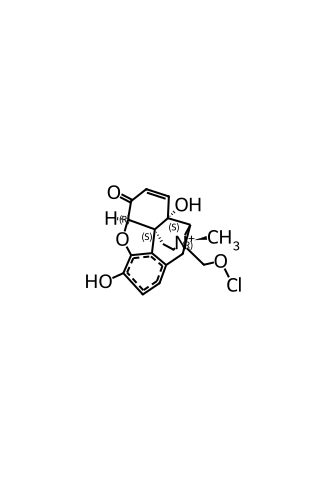 C[N@@+]1(COCl)CC[C@]23c4c5ccc(O)c4O[C@H]2C(=O)C=C[C@@]3(O)C1C5